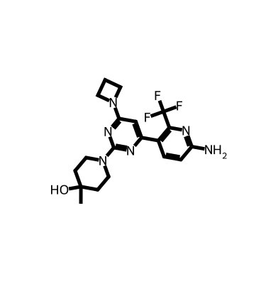 CC1(O)CCN(c2nc(-c3ccc(N)nc3C(F)(F)F)cc(N3CCC3)n2)CC1